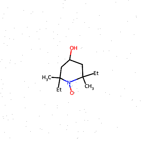 CCC1(C)CC(O)CC(C)(CC)N1[O]